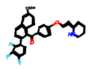 COc1ccc2c(C(=O)c3ccc(OCCC4CCCCN4)cc3)c(-c3ccc(F)c(F)c3F)ccc2c1